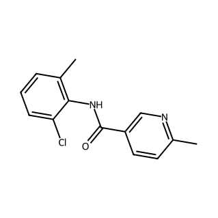 Cc1ccc(C(=O)Nc2c(C)cccc2Cl)cn1